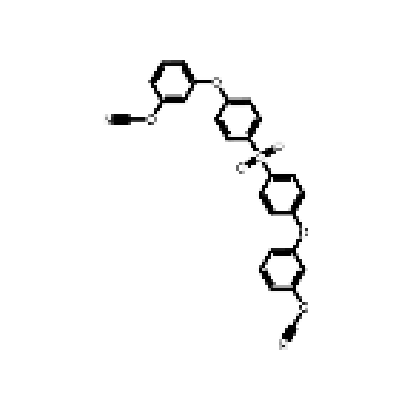 N#COc1cccc(Oc2ccc(S(=O)(=O)c3ccc(Oc4cccc(OC#N)c4)cc3)cc2)c1